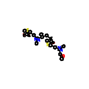 c1ccc(-c2nc(-c3ccc(-c4ccc5c(c4)C4(c6ccccc6S5)c5ccccc5-c5ccc(-c6cccc(-c7ccc(-c8cc(-c9ccc(-c%10ccc%11c(c%10)C%10(c%12ccccc%12S%11)c%11ccccc%11-c%11ccccc%11%10)cc9)nc(-c9ccccc9)n8)c8ccccc78)c6)cc54)cc3)cc(-c3ccc4c(c3)oc3ccccc34)n2)cc1